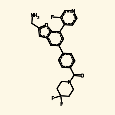 NCc1cc2cc(-c3ccc(C(=O)N4CCC(F)(F)CC4)cc3)cc(-c3ccncc3F)c2o1